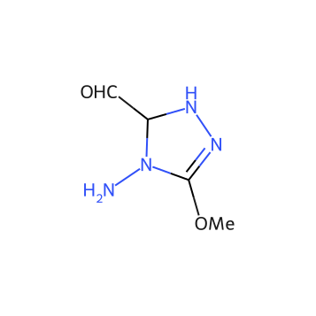 COC1=NNC(C=O)N1N